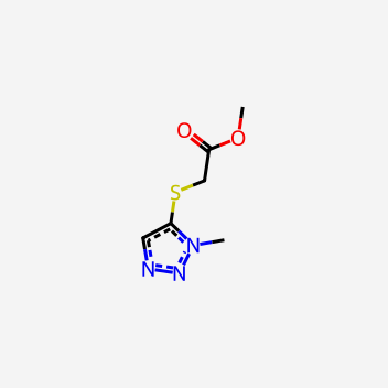 COC(=O)CSc1cnnn1C